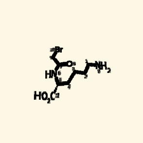 NCCCC[C@@H](NC(=O)CBr)C(=O)O